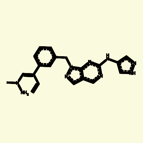 C=C/C(=C\N(C)N)c1cccc(Cn2ncc3cnc(Nc4cn[nH]c4)nc32)c1